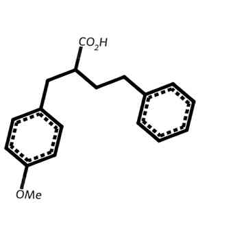 COc1ccc(CC(CCc2ccccc2)C(=O)O)cc1